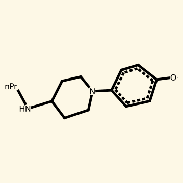 CCCNC1CCN(c2ccc([O])cc2)CC1